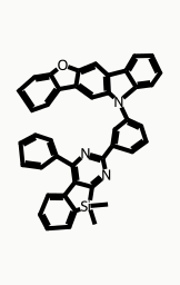 C[Si]1(C)c2ccccc2-c2c(-c3ccccc3)nc(-c3cccc(-n4c5ccccc5c5cc6oc7ccccc7c6cc54)c3)nc21